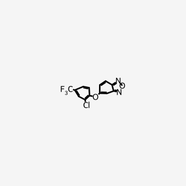 FC(F)(F)c1ccc(Oc2ccc3nonc3c2)c(Cl)c1